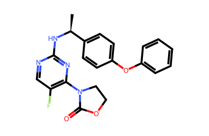 C[C@H](Nc1ncc(F)c(N2CCOC2=O)n1)c1ccc(Oc2ccccc2)cc1